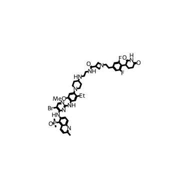 CCc1cc(Nc2ncc(Br)c(Nc3ccc4nc(C)ccc4c3P(C)(C)=O)n2)c(OC)cc1N1CCC(NCCNC(=O)C2CN(CCc3cc(F)c(C4CCC(=O)NC4=O)c(F)c3)C2)CC1